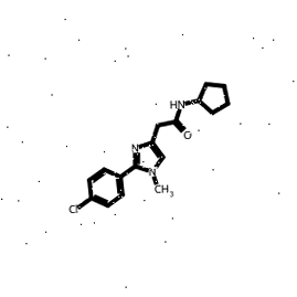 Cn1cc(CC(=O)NC2CCCC2)nc1-c1ccc(Cl)cc1